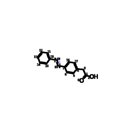 O=C(O)Cc1ccc(/N=N/c2cc[c]cc2)cc1